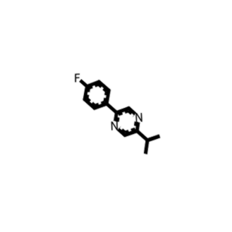 CC(C)c1cnc(-c2ccc(F)cc2)cn1